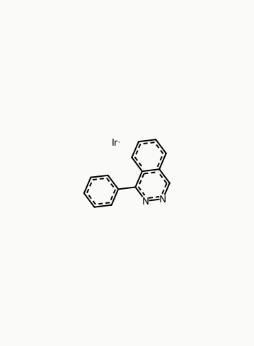 [Ir].c1ccc(-c2nncc3ccccc23)cc1